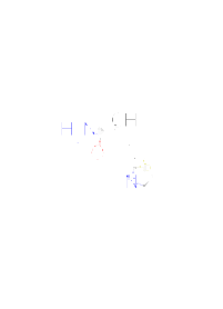 C[C@@H](C[CH]c1nccs1)C(N)=O